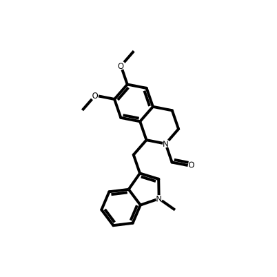 COc1cc2c(cc1OC)C(Cc1cn(C)c3ccccc13)N(C=O)CC2